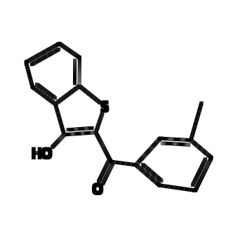 Cc1cccc(C(=O)c2sc3ccccc3c2O)c1